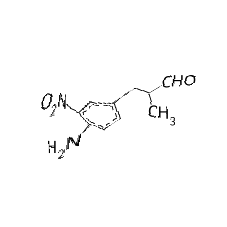 CC(C=O)Cc1ccc(N)c([N+](=O)[O-])c1